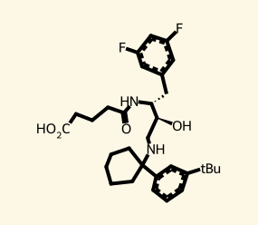 CC(C)(C)c1cccc(C2(NC[C@H](O)[C@@H](Cc3cc(F)cc(F)c3)NC(=O)CCCC(=O)O)CCCCC2)c1